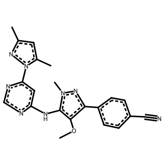 COc1c(-c2ccc(C#N)cc2)nn(C)c1Nc1cc(-n2nc(C)cc2C)ncn1